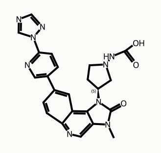 Cn1c(=O)n([C@H]2CCN(NC(=O)O)C2)c2c3cc(-c4ccc(-n5cncn5)nc4)ccc3ncc21